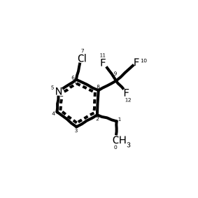 CCc1ccnc(Cl)c1C(F)(F)F